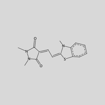 CN1C(=CC=C2C(=O)N(C)N(C)C2=O)Sc2ccccc21